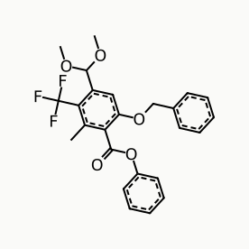 COC(OC)c1cc(OCc2ccccc2)c(C(=O)Oc2ccccc2)c(C)c1C(F)(F)F